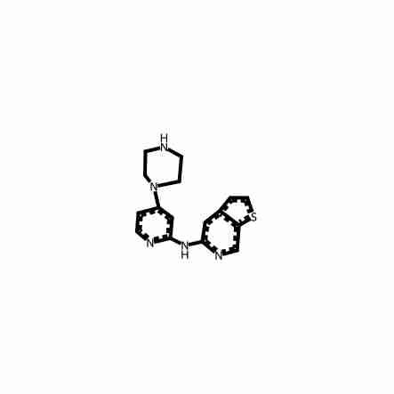 c1cc(N2CCNCC2)cc(Nc2cc3ccsc3cn2)n1